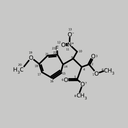 COC(=O)C(C(=O)OC)C(C[N+](=O)[O-])C1C#CC=C(OC)C=C1F